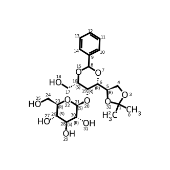 CC1(C)OC[C@H]([C@H]2OC(c3ccccc3)O[C@@H](CO)[C@H]2O[C@@H]2O[C@H](CO)[C@@H](O)[C@H](O)[C@H]2O)O1